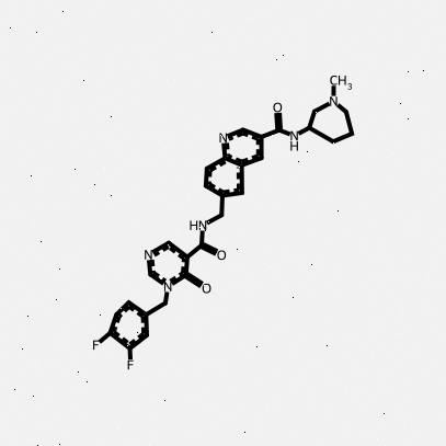 CN1CCCC(NC(=O)c2cnc3ccc(CNC(=O)c4cncn(Cc5ccc(F)c(F)c5)c4=O)cc3c2)C1